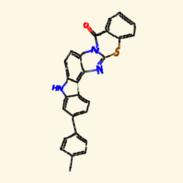 Cc1ccc(-c2ccc3c(c2)[nH]c2ccc4c(nc5sc6ccccc6c(=O)n54)c23)cc1